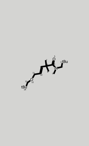 CN(CC(C)(C)C)C(=O)C(C)(C)C=CCOCC(C)(C)C